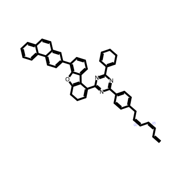 C=C/C=C\C=C/Cc1ccc(-c2nc(C3=CCCC=C3)nc(C3=CCCc4oc5c(-c6ccc7c(ccc8ccccc87)c6)cccc5c43)n2)cc1